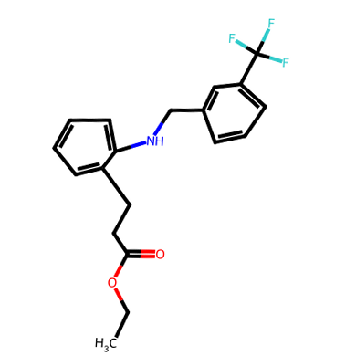 CCOC(=O)CCc1ccccc1NCc1cccc(C(F)(F)F)c1